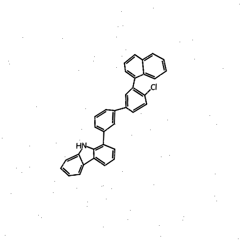 Clc1ccc(-c2cccc(-c3cccc4c3[nH]c3ccccc34)c2)cc1-c1cccc2ccccc12